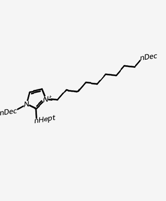 CCCCCCCCCCCCCCCCCCC[n+]1ccn(CCCCCCCCCC)c1CCCCCCC